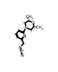 C[C@@H]1CN(c2cccc(CN=[N+]=[N-])n2)C[C@H](C)O1